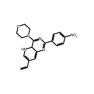 C=CC1=CNC2C(=C1)N=C(c1ccc([N+](=O)[O-])cc1)N=C2N1CCOCC1